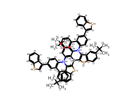 CC(C)(C)C1=CC2C3=C(SC2C=C1)B1c2sc4ccc(C(C)(C)C)cc4c2N(c2ccc(-c4csc5ccccc45)cc2-c2ccccc2)c2cc(C(C)(C)C)cc(c21)N3c1ccc(-c2csc3ccccc23)cc1-c1ccccc1